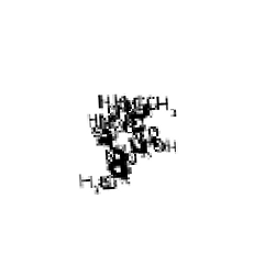 CNC(=O)[C@@H](CC(=O)N1C[C@H](Oc2cc(-c3csc(NC(C)C)n3)nc3cc(OC)ccc23)C[C@H]1C(=O)O)CC(C)C